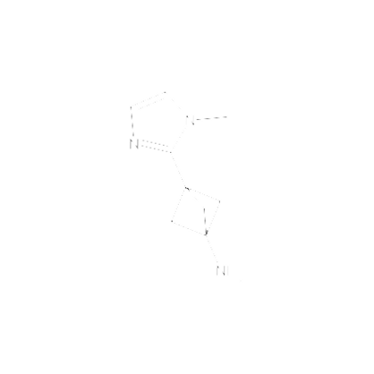 Cn1ccnc1C12CC(N)(C1)C2